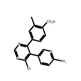 CCc1ncnc(-c2ccc(C(=O)O)c(C)c2)c1-c1ccc(N)nc1